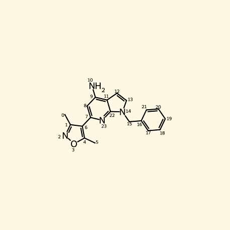 Cc1noc(C)c1-c1cc(N)c2ccn(Cc3ccccc3)c2n1